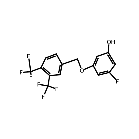 Oc1cc(F)cc(OCc2ccc(C(F)(F)F)c(C(F)(F)F)c2)c1